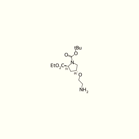 CCOC(=O)[C@@H]1C[C@@H](OCCN)CN1C(=O)OC(C)(C)C